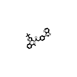 CCc1ccccc1-n1nc(C(C)(C)C)cc1NC(=O)Cc1ccc(-n2cnc3cccnc32)cc1